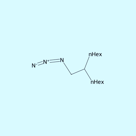 CCCCCCC(CCCCCC)CN=[N+]=[N-]